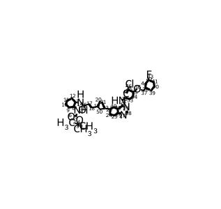 CC(C)(C)OC(=O)Nc1ccccc1NC(=O)/C=C/C1=CC=C(c2ccc3ncnc(Nc4ccc(OCc5cccc(F)c5)c(Cl)c4)c3c2)C1